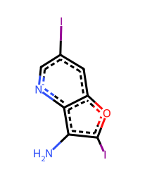 Nc1c(I)oc2cc(I)cnc12